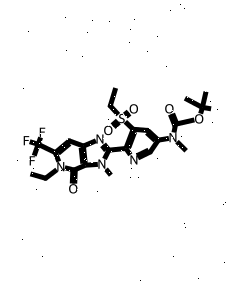 CCn1c(C(F)(F)F)cc2nc(-c3ncc(N(C)C(=O)OC(C)(C)C)cc3S(=O)(=O)CC)n(C)c2c1=O